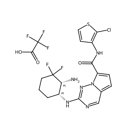 N[C@@H]1[C@H](Nc2ncc3ccc(C(=O)Nc4ccsc4Cl)n3n2)CCCC1(F)F.O=C(O)C(F)(F)F